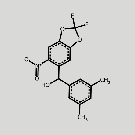 Cc1cc(C)cc(C(O)c2cc3c(cc2[N+](=O)[O-])OC(F)(F)O3)c1